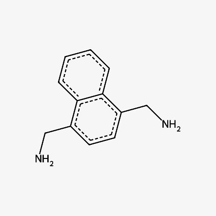 NCc1ccc(CN)c2ccccc12